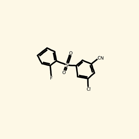 N#Cc1cc(Cl)cc(S(=O)(=O)c2ccccc2F)c1